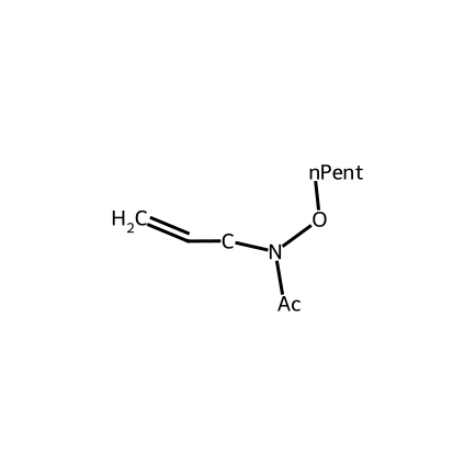 C=CCN(OCCCCC)C(C)=O